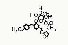 CCc1ccc(Cc2ccc(COC3CCCO3)cc2O[C@H]2O[C@H](COC(C)=O)[C@@](C)(O)[C@H](O)[C@H]2O)cc1